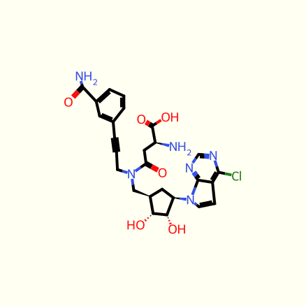 NC(=O)c1cccc(C#CCN(C[C@H]2C[C@@H](n3ccc4c(Cl)ncnc43)[C@H](O)[C@@H]2O)C(=O)C[C@H](N)C(=O)O)c1